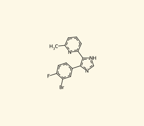 Cc1cccc(-c2[nH]cnc2-c2ccc(F)c(Br)c2)n1